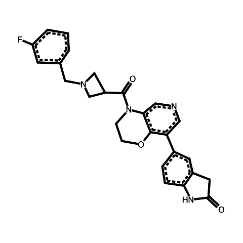 O=C1Cc2cc(-c3cncc4c3OCCN4C(=O)C3CN(Cc4cccc(F)c4)C3)ccc2N1